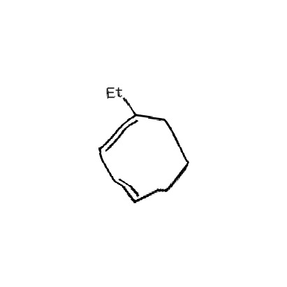 CCC1=CC=CCCC1